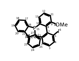 COc1cccc(I)c1-c1c(OC)cccc1-p1c2ccccc2c2ccccc21